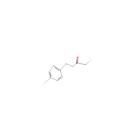 NCC(=O)CCc1ccc(Cl)cc1